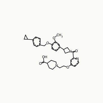 COc1cc(C2CN(C(=O)c3cc(OCCN4CCC(C(=O)O)CC4)ccn3)C2)ccc1OCc1ccc(C2CC2)cc1